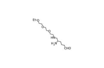 CCOCCOCCOCCNCC(N)CCCC=O